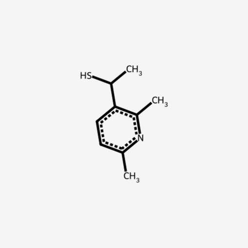 Cc1ccc(C(C)S)c(C)n1